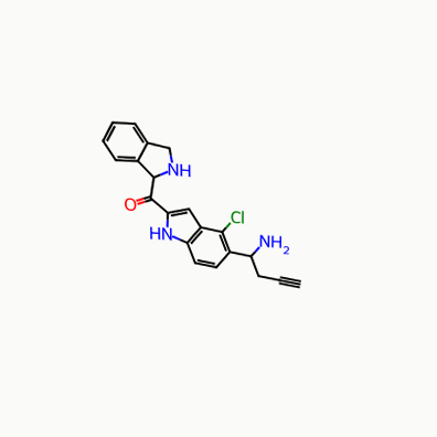 C#CCC(N)c1ccc2[nH]c(C(=O)C3NCc4ccccc43)cc2c1Cl